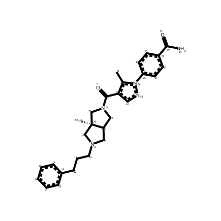 Cc1c(C(=O)N2CC3CN(CC[CH]c4ccccc4)C[C@H]3C2)cnn1-c1ccc(C(N)=O)cc1